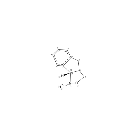 CN1OCC2Cc3ccccc3[C@H]21